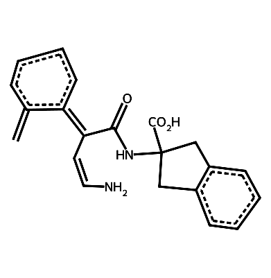 C=c1cccc/c1=C(/C=C\N)C(=O)NC1(C(=O)O)Cc2ccccc2C1